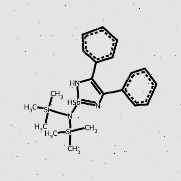 C[Si](C)(C)[N]([SbH]1=[N]C(c2ccccc2)=C(c2ccccc2)[NH]1)[Si](C)(C)C